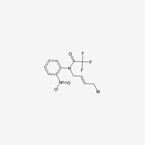 O=C(N(CC=CCBr)c1ccccc1[N+](=O)[O-])C(F)(F)F